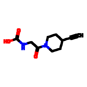 C#CC1CCN(C(=O)CNC(=O)O)CC1